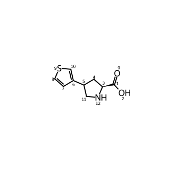 O=C(O)[C@@H]1CC(c2ccsc2)CN1